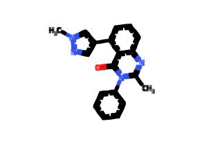 Cc1nc2cccc(-c3cnn(C)c3)c2c(=O)n1-c1ccccc1